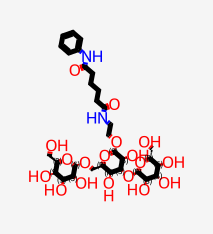 O=C(CCCCC(=O)Nc1ccccc1)NCCO[C@H]1O[C@H](CO[C@H]2O[C@H](CO)[C@@H](O)[C@H](O)[C@@H]2O)[C@@H](O)[C@H](O[C@H]2O[C@H](CO)[C@@H](O)[C@H](O)[C@@H]2O)[C@@H]1O